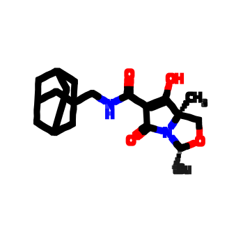 CC(C)(C)[C@H]1OC[C@]2(C)C(O)=C(C(=O)NCC34CC5CC(CC(C5)C3)C4)C(=O)N12